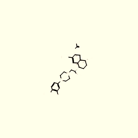 CC(=O)O[C@@H]1[CH][C@@]2(O)[C@H](C)CC[C@@H](C(C)CN3CCN(c4ccc(C)c(Cl)c4)CC3)[C@H]2C=C1C